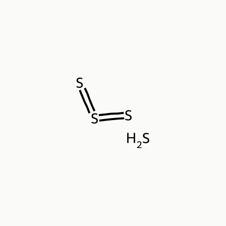 S.S=S=S